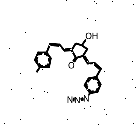 Cc1ccc(/C=C\C=C2/CC(O)C/C(=C\C=C/c3ccc(N=[N+]=[N-])cc3)C2=O)cc1